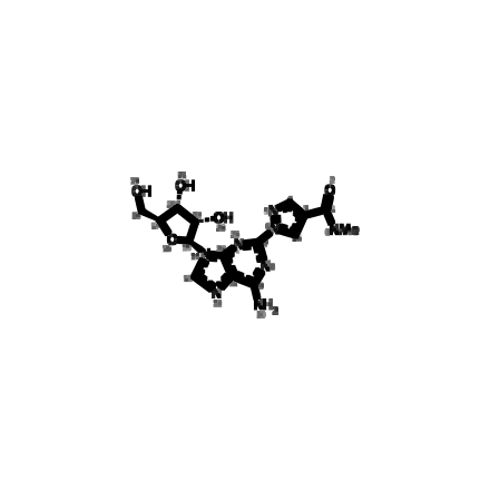 CNC(=O)c1cnn(-c2nc(N)c3ncn([C@H]4O[C@@H](CO)[C@H](O)[C@@H]4O)c3n2)c1